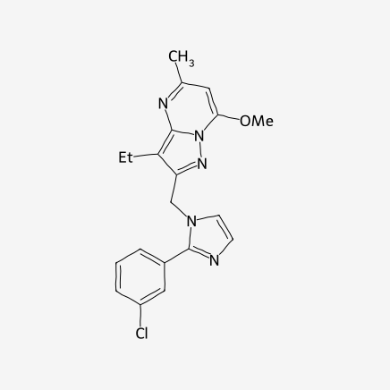 CCc1c(Cn2ccnc2-c2cccc(Cl)c2)nn2c(OC)cc(C)nc12